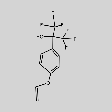 C=COc1ccc(C(O)(C(F)(F)F)C(F)(F)F)cc1